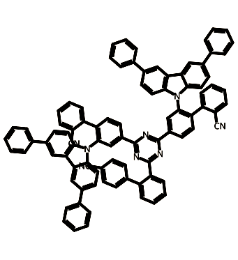 N#Cc1ccc(-c2ccccc2-c2nc(-c3ccc(-c4ccccc4C#N)c(-n4c5ccc(-c6ccccc6)cc5c5cc(-c6ccccc6)ccc54)c3)nc(-c3ccc(-c4ccccc4C#N)c(-n4c5ccc(-c6ccccc6)cc5c5cc(-c6ccccc6)ccc54)c3)n2)cc1